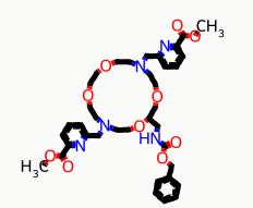 COC(=O)c1cccc(CN2CCOCCOCCN(Cc3cccc(C(=O)OC)n3)CCOC(CNC(=O)OCc3ccccc3)COCC2)n1